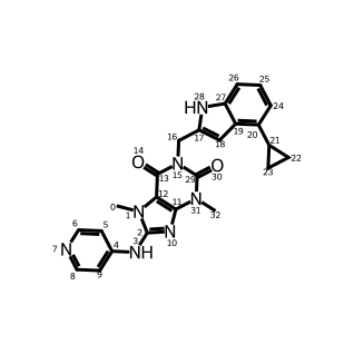 Cn1c(Nc2ccncc2)nc2c1c(=O)n(Cc1cc3c(C4CC4)cccc3[nH]1)c(=O)n2C